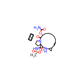 CS(=O)(=O)NC(=O)C12CCCN1C(=O)C(OC(N)=O)CCCCCC=CC1CC1NC2=O.c1cc2ccc1-2